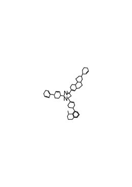 CC1CCCc2cccc(C3CC=C(C4CC(C5=CC6CCC7CC(C8C=CCCC8)CCC7C6CC5)=NC(C5C=CC(C6=CCCC=C6)CC5)=N4)CC3)c21